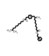 CC(C)CCCCCCCCOC(=O)CC12CCC(CC(C)CCCCCCCC(=O)OCCC34CCC(CC3)CC4)(CC1)CC2